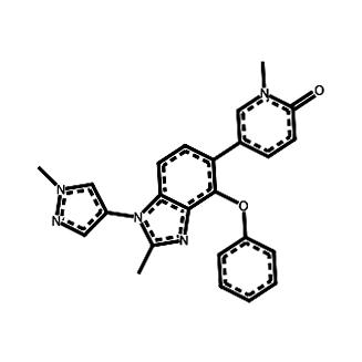 Cc1nc2c(Oc3ccccc3)c(-c3ccc(=O)n(C)c3)ccc2n1-c1cnn(C)c1